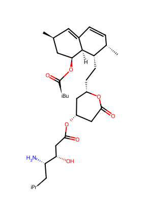 CC[C@H](C)C(=O)O[C@H]1C[C@@H](C)C=C2C=C[C@H](C)[C@H](CC[C@H]3C[C@@H](OC(=O)C[C@H](O)[C@@H](N)CC(C)C)CC(=O)O3)[C@H]21